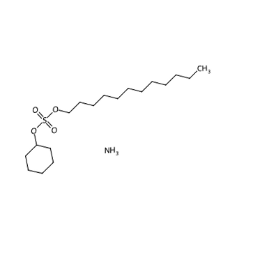 CCCCCCCCCCCCOS(=O)(=O)OC1CCCCC1.N